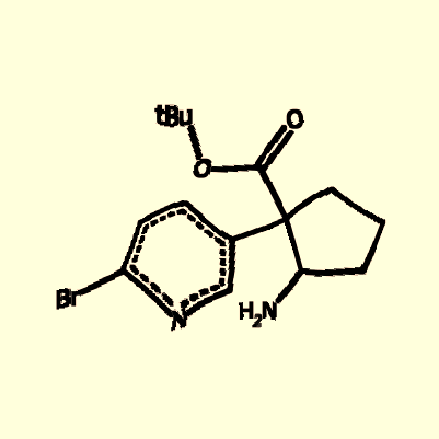 CC(C)(C)OC(=O)C1(c2ccc(Br)nc2)CCCC1N